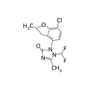 Cc1nc(=O)n(-c2ccc(Cl)c3c2CC(C)O3)n1C(F)F